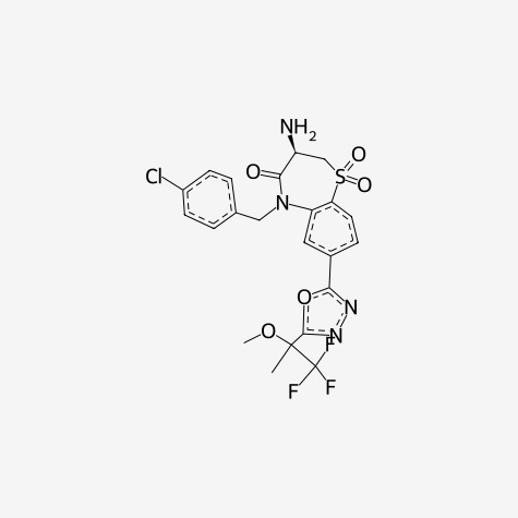 COC(C)(c1nnc(-c2ccc3c(c2)N(Cc2ccc(Cl)cc2)C(=O)[C@@H](N)CS3(=O)=O)o1)C(F)(F)F